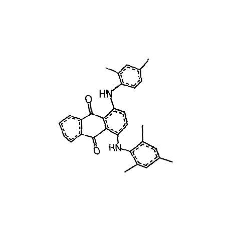 Cc1ccc(Nc2ccc(Nc3c(C)cc(C)cc3C)c3c2C(=O)c2ccccc2C3=O)c(C)c1